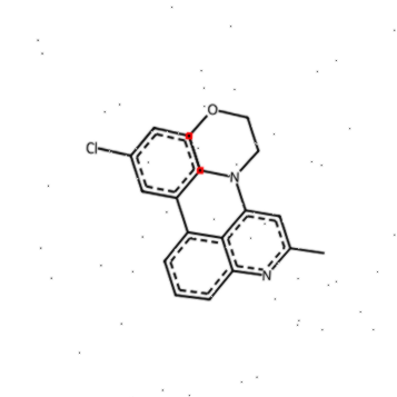 Cc1cc(N2CCOCC2)c2c(-c3cccc(Cl)c3)cccc2n1